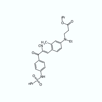 CCCS(=O)(=O)Nc1ccc(C(=O)C(C#N)=Cc2ccc(N(CC)CCC(=O)OC(C)C)cc2C)cc1